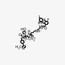 Cc1ncsc1-c1ccc(CNC(=O)[C@@H]2C[C@@H](O)CN2C(=O)[C@@H](NC(=O)CCCNCCCONC(=O)c2ccc(F)c(F)c2Nc2ccc(I)cc2F)C(C)(C)C)cc1